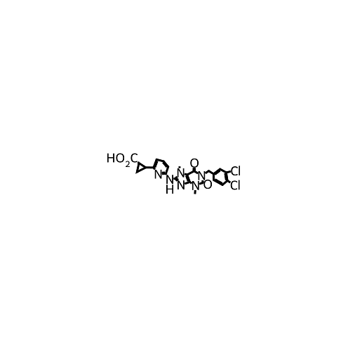 Cn1c(Nc2cccc(C3CC3C(=O)O)n2)nc2c1c(=O)n(Cc1ccc(Cl)c(Cl)c1)c(=O)n2C